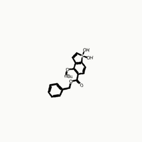 CCCCOc1c(C(=O)OCc2ccccc2)ccc2c1C=CS2(O)O